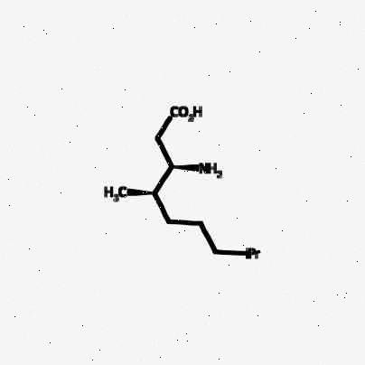 CC(C)CCC[C@@H](C)[C@H](N)CC(=O)O